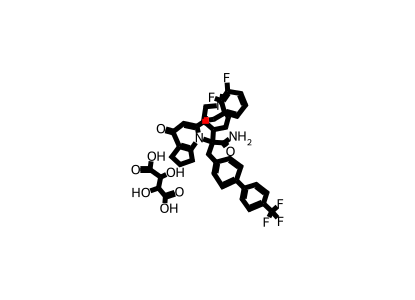 CN1CCC(C(Cc2ccc(-c3ccc(C(F)(F)F)cc3)cc2)(C(N)=O)n2c(SCc3cccc(F)c3F)cc(=O)c3c2CCC3)CC1.O=C(O)C(O)C(O)C(=O)O